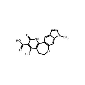 Cn1ccc2cc3c(cc21)OCCc1c-3[nH]c(=O)c(C(=O)O)c1O